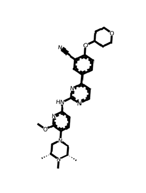 COc1nc(Nc2nccc(-c3ccc(OC4CCOCC4)c(C#N)c3)n2)ccc1N1C[C@@H](C)N(C)[C@@H](C)C1